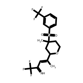 C/C(=C\C(=N)C(F)(F)F)C1CC(C)(S(=O)(=O)c2cccc(C(F)(F)F)c2)CCO1